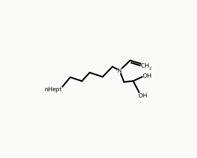 C=CN(CCCCCCCCCCCC)CC(O)O